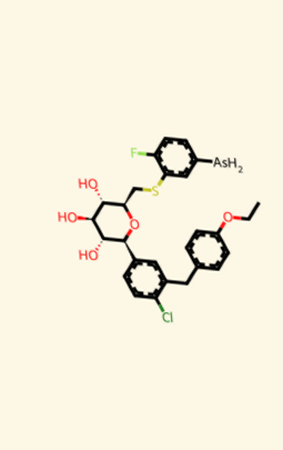 CCOc1ccc(Cc2cc([C@@H]3O[C@H](CSc4cc([AsH2])ccc4F)[C@@H](O)[C@H](O)[C@H]3O)ccc2Cl)cc1